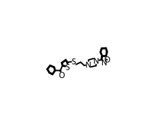 O=C(c1ccccc1)c1ccc(SCCCN2CCN(c3noc4ccccc34)CC2)s1